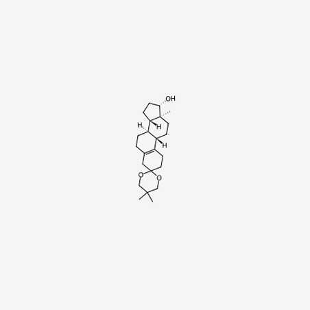 CC1(C)COC2(CCC3=C(CC[C@@H]4[C@@H]3[CH]C[C@]3(C)[C@@H](O)CC[C@@H]43)C2)OC1